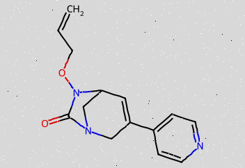 C=CCON1C(=O)N2CC(c3ccncc3)=CC1C2